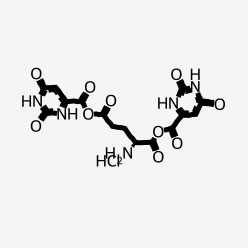 Cl.N[C@@H](CCC(=O)OC(=O)c1cc(=O)[nH]c(=O)[nH]1)C(=O)OC(=O)c1cc(=O)[nH]c(=O)[nH]1